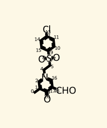 Cc1cn(CCS(=O)(=O)c2ccc(Cl)cc2)cc(C=O)c1=O